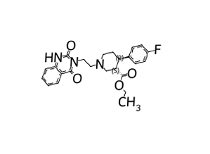 CCOC(=O)[C@@H]1CN(CCn2c(=O)[nH]c3ccccc3c2=O)CC[C@H]1c1ccc(F)cc1